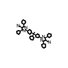 CC(c1ccccc1)(c1ccc(-c2nc(-c3ccccc3)c(C#N)c(-c3ccccc3)n2)cc1)c1ccc(-c2nc(-c3ccccc3)c(C#N)c(-c3ccccc3)n2)cc1